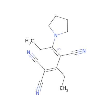 CCC(=C(C#N)C#N)/C(C#N)=C(\CC)N1CCCC1